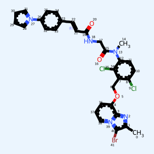 Cc1nc2c(OCc3c(Cl)ccc(N(C)C(=O)CNC(=O)/C=C/c4ccc(-n5cccc5)cc4)c3Cl)cccn2c1Br